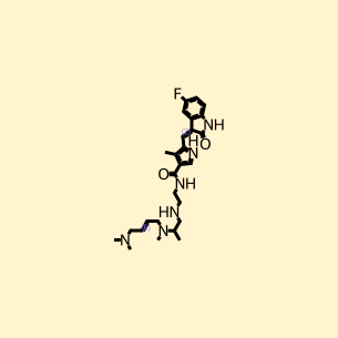 Cc1c(C(=O)NCCNCC(C)N(C)C/C=C/CN(C)C)c[nH]c1/C=C1\C(=O)Nc2ccc(F)cc21